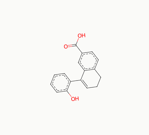 O=C(O)c1ccc2c(c1)C(c1ccccc1O)=CCC2